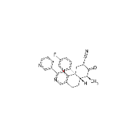 C[C@@H]1C(=O)C(C#N)C[C@]2(c3ccc(F)cc3)c3nc(-c4cccnc4)ncc3CC[C@@H]12